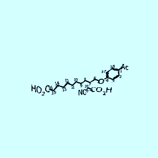 CC(=O)c1ccc(OCCCCCCCCCCC(=O)O)cc1.N#CCC(=O)O